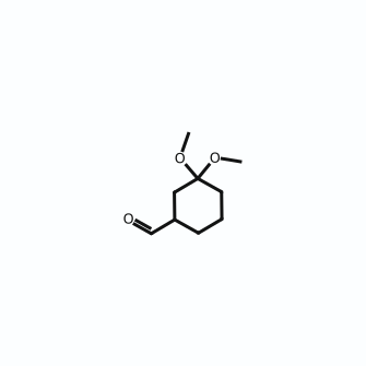 COC1(OC)CCCC(C=O)C1